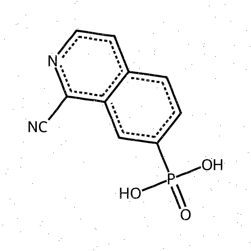 N#Cc1nccc2ccc(P(=O)(O)O)cc12